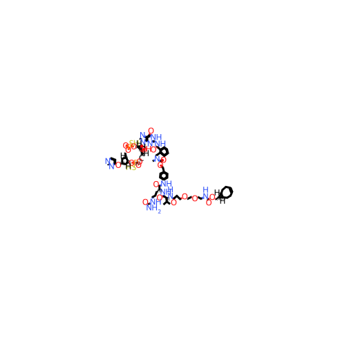 CC(C)[C@H](NC(=O)CCOCCOCCNC(=O)OC[C@@H]1[C@@H]2CCC#CCC[C@@H]21)C(=O)N[C@@H](CCCNC(N)=O)C(=O)Nc1ccc(COC(=O)N(C)Cc2ccccc2C(=O)Nc2nc3c(ncn3[C@@H]3O[C@@H]4CO[P@@](=O)(S)O[C@H]5C[C@H](Oc6ccncn6)C[C@@H]5COP(=O)(S)O[C@@H]3[C@@H]4O)c(=O)[nH]2)cc1